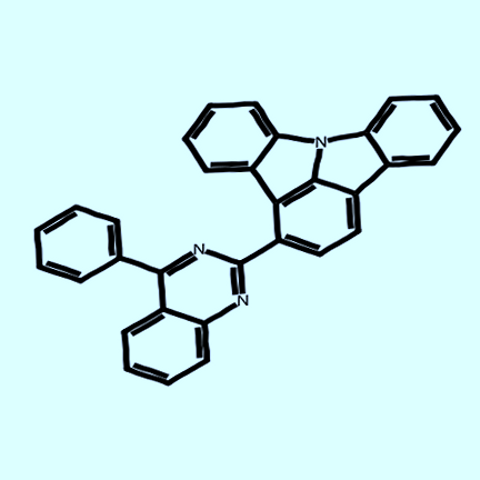 c1ccc(-c2nc(-c3ccc4c5ccccc5n5c6ccccc6c3c45)nc3ccccc23)cc1